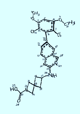 COc1cc(OC)c(Cl)c(-c2ccc3nc(NC4CC5(C4)CN(C(=O)O)C5)ncc3c2)c1Cl